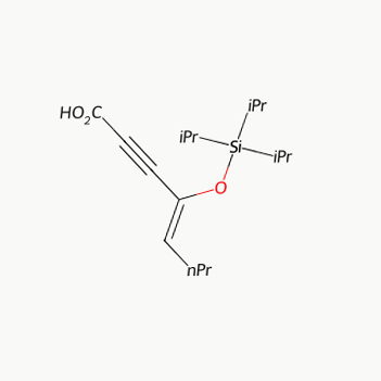 CCC/C=C(/C#CC(=O)O)O[Si](C(C)C)(C(C)C)C(C)C